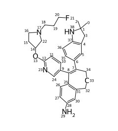 CC1(C)Cc2cc(C3=C(c4ccc(OC5CCN(CCCF)C5)nc4)c4ccc(N)cc4CCC3)ccc2N1